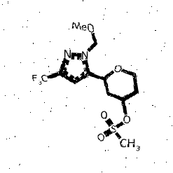 COCn1nc(C(F)(F)F)cc1C1CC(OS(C)(=O)=O)CCO1